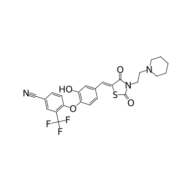 N#Cc1ccc(Oc2ccc(/C=C3\SC(=O)N(CCN4CCCCC4)C3=O)cc2O)c(C(F)(F)F)c1